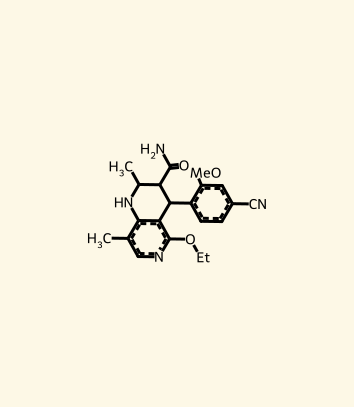 CCOc1ncc(C)c2c1C(c1ccc(C#N)cc1OC)C(C(N)=O)C(C)N2